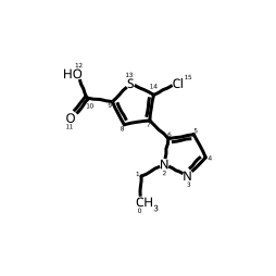 CCn1nccc1-c1cc(C(=O)O)sc1Cl